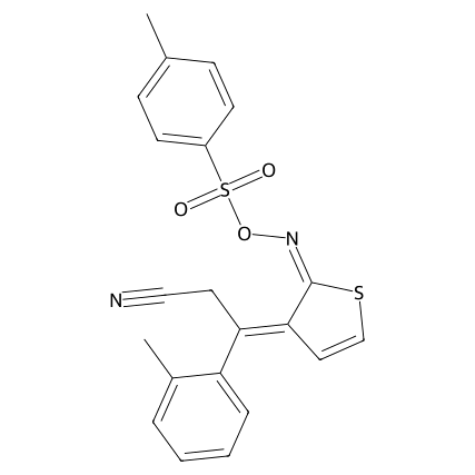 Cc1ccc(S(=O)(=O)ON=C2SC=CC2=C(CC#N)c2ccccc2C)cc1